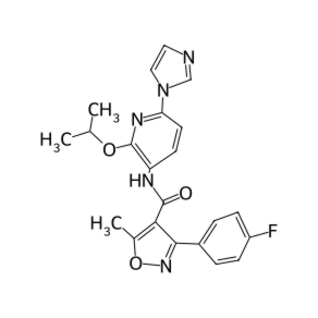 Cc1onc(-c2ccc(F)cc2)c1C(=O)Nc1ccc(-n2ccnc2)nc1OC(C)C